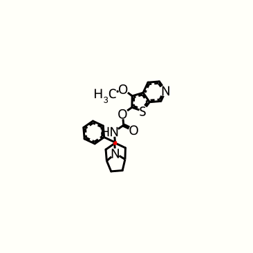 COc1c(OC(=O)NC2CC3CCC(C2)N3Cc2ccccc2)sc2cnccc12